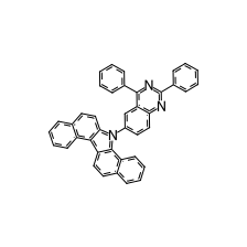 c1ccc(-c2nc(-c3ccccc3)c3cc(-n4c5ccc6ccccc6c5c5ccc6ccccc6c54)ccc3n2)cc1